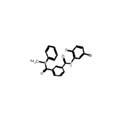 CN(C(=O)c1cccc(C(=O)Nc2cc(Br)ccc2F)c1)c1ccccc1